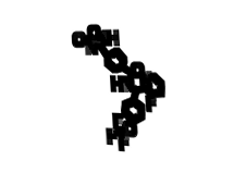 O=C(NC(c1ccc(OC(F)(F)F)cc1)c1ncccc1F)c1ccc(-c2nc(=O)o[nH]2)cc1